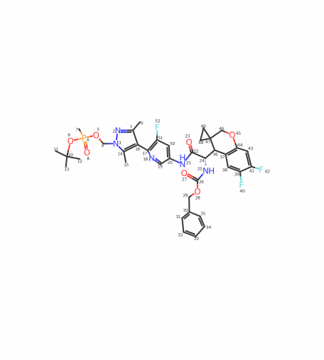 Cc1nn(COP(C)(=O)OC(C)(C)C)c(C)c1-c1ncc(NC(=O)[C@@H](NC(=O)OCc2ccccc2)C2c3cc(F)c(F)cc3OCC23CC3)cc1F